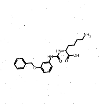 NCCCCC(NC(=O)Nc1cccc(OCc2ccccc2)c1)C(=O)O